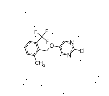 Cc1cccc(C(F)(F)F)c1COc1cnc(Cl)nc1